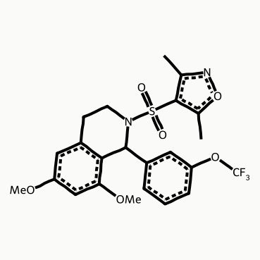 COc1cc2c(c(OC)c1)C(c1cccc(OC(F)(F)F)c1)N(S(=O)(=O)c1c(C)noc1C)CC2